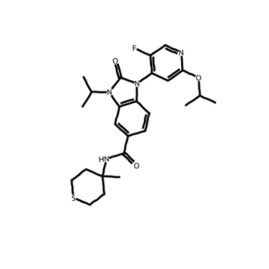 CC(C)Oc1cc(-n2c(=O)n(C(C)C)c3cc(C(=O)NC4(C)CCSCC4)ccc32)c(F)cn1